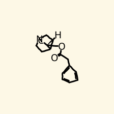 O=C(Cc1ccccc1)O[C@H]1CN2CCC1CC2